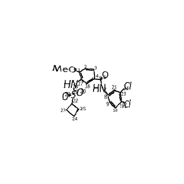 COc1ccc(C(=O)Nc2ccc(Cl)c(Cl)c2)cc1NS(=O)(=O)C1CCC1